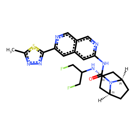 Cc1nnc(-c2cc3cc(NC(=O)N4[C@@H]5CC[C@H]4C[C@H](NC(CF)CF)C5)ncc3cn2)s1